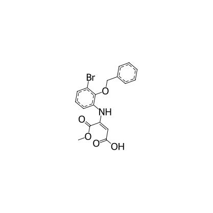 COC(=O)C(=CC(=O)O)Nc1cccc(Br)c1OCc1ccccc1